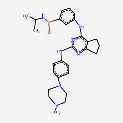 CC(C)N[S+]([O-])c1cccc(Nc2nc(Nc3ccc(N4CCN(C)CC4)cc3)nc3c2CCC3)c1